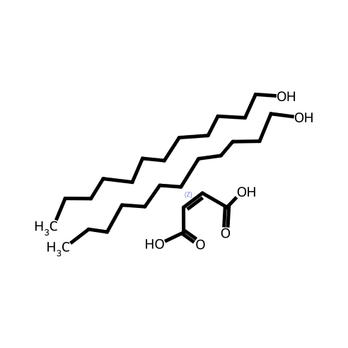 CCCCCCCCCCCCO.CCCCCCCCCCCCO.O=C(O)/C=C\C(=O)O